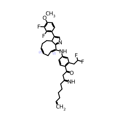 C=CCCCCC(=N)CC(=O)c1ccc(N/C2=C\C/C=C\CCC3C(c4ccc(OC)c(F)c4F)=CN=C23)cc1CC(F)F